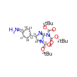 CC(C)(C)OC(=O)N(C(=O)OC(C)(C)C)c1nc(-c2ccc(N)cc2)cn1C(=O)OC(C)(C)C